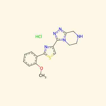 COc1ccccc1-c1nc(-c2nnc3n2CCNC3)cs1.Cl